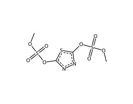 COS(=O)(=O)Oc1nnc(OS(=O)(=O)OC)s1